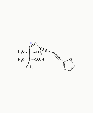 CC(C)(/C=C\C#CC#Cc1ccco1)C(C)(C)C(=O)O